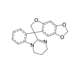 c1ccc2c(c1)N1CCCN=C1C21COc2cc3c(cc21)OCO3